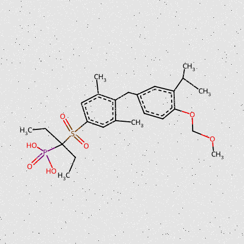 CCC(CC)(P(=O)(O)O)S(=O)(=O)c1cc(C)c(Cc2ccc(OCOC)c(C(C)C)c2)c(C)c1